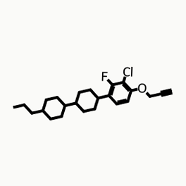 C#CCOc1ccc(C2CCC(C3CCC(CCC)CC3)CC2)c(F)c1Cl